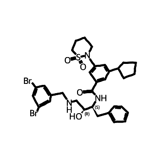 O=C(N[C@@H](Cc1ccccc1)[C@H](O)CNCc1cc(Br)cc(Br)c1)c1cc(C2CCCC2)cc(N2CCCCS2(=O)=O)c1